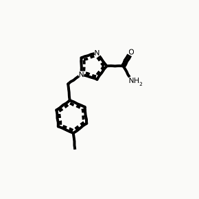 Cc1ccc(Cn2cnc(C(N)=O)c2)cc1